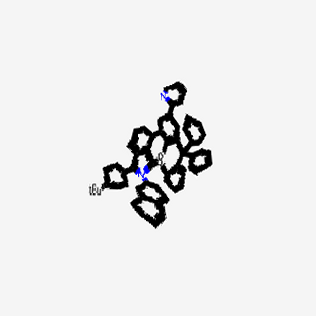 CC(C)(C)c1ccc(-c2c3cccc4c3c(n2-c2ccc3ccccc3c2)B2c3ccccc3C(c3ccccc3)(c3ccccc3)c3cc(-c5ccccn5)cc-4c32)cc1